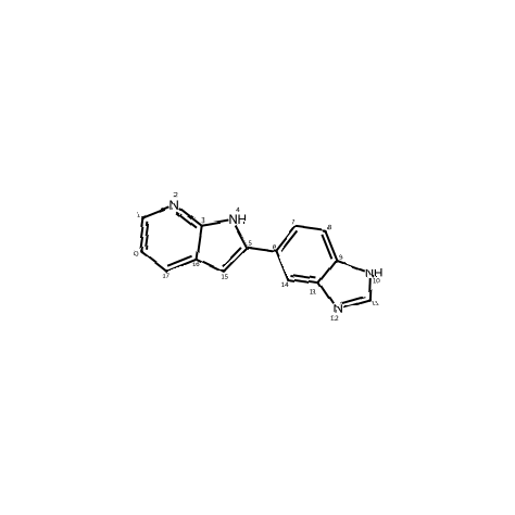 c1cnc2[nH]c(-c3ccc4[nH]cnc4c3)cc2c1